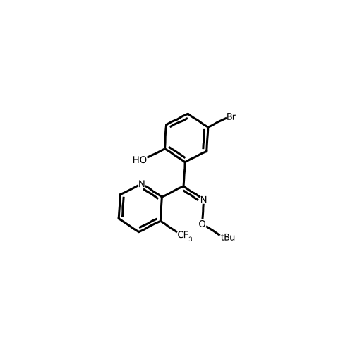 CC(C)(C)ON=C(c1cc(Br)ccc1O)c1ncccc1C(F)(F)F